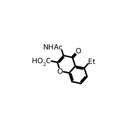 CCc1cccc2oc(C(=O)O)c(NC(C)=O)c(=O)c12